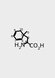 CC1(C[C@H](N)C(=O)O)C=CC=CC1